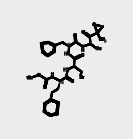 CCC(C)C(NC(=O)[C@H](Cc1ccccc1)NC(=O)C(CC(C)C)NC(=O)[C@H](CCc1ccccc1)NC(=O)OC(C)(C)C)C(=O)C1(C)CO1